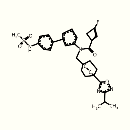 CC(C)c1noc(C23CCC(CN(C(=O)C45CC(F)(C4)C5)c4cccc(-c5ccc(NS(C)(=O)=O)cc5)c4)(CC2)CC3)n1